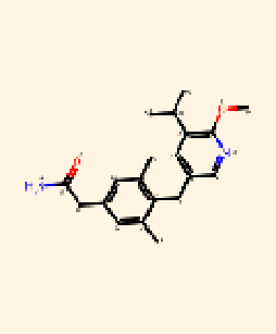 COc1ncc(Cc2c(C)cc(CC(N)=O)cc2C)cc1C(C)C